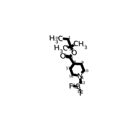 CCC(C)(C)OC(=O)C1CCN(CB(F)F)CC1